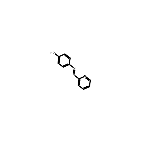 Oc1ccc(N=Nc2ccccn2)cc1